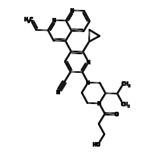 C=Cc1cc(-c2cc(C#N)c(N3CCN(C(=O)CCO)C(C(C)C)C3)nc2C2CC2)c2cccnc2n1